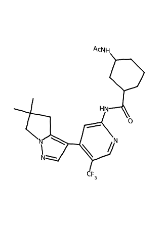 CC(=O)NC1CCCC(C(=O)Nc2cc(-c3cnn4c3CC(C)(C)C4)c(C(F)(F)F)cn2)C1